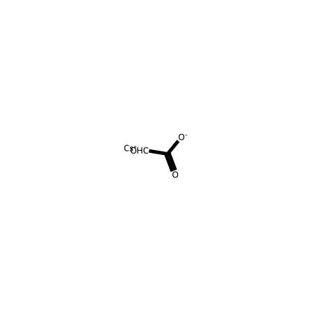 O=CC(=O)[O-].[Cs+]